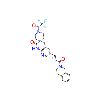 O=C(/C=C/c1cnc2c(c1)CC1(CCN(C(=O)C(F)(F)F)CC1)C(=O)N2)N1CCc2ccccc2C1